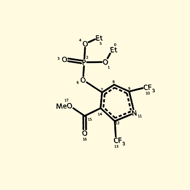 CCOP(=O)(OCC)Oc1cc(C(F)(F)F)nc(C(F)(F)F)c1C(=O)OC